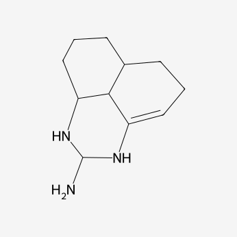 NC1NC2=CCCC3CCCC(N1)C23